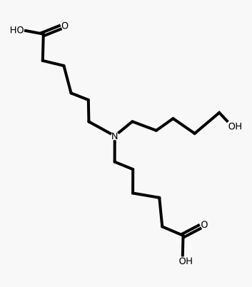 O=C(O)CCCCCN(CCCCCO)CCCCCC(=O)O